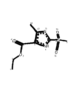 CCOC(=O)c1[nH]c(S(C)(=O)=O)nc1C